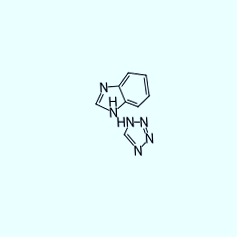 c1ccc2[nH]cnc2c1.c1nnn[nH]1